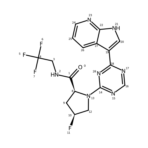 O=C(NCC(F)(F)F)[C@@H]1C[C@H](F)CN1c1ncnc(-c2c[nH]c3ncccc23)n1